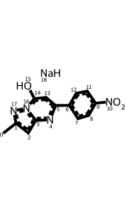 Cc1cc2nc(-c3ccc([N+](=O)[O-])cc3)cc(O)n2n1.[NaH]